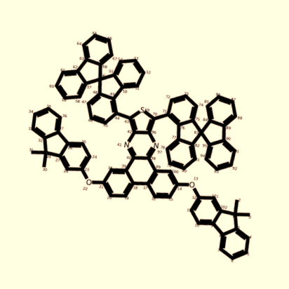 CC1(C)c2ccccc2-c2ccc(Oc3ccc4c5ccc(Oc6ccc7c(c6)C(C)(C)c6ccccc6-7)cc5c5nc6c(-c7cccc8c7-c7ccccc7C87c8ccccc8-c8ccccc87)sc(-c7cccc8c7-c7ccccc7C87c8ccccc8-c8ccccc87)c6nc5c4c3)cc21